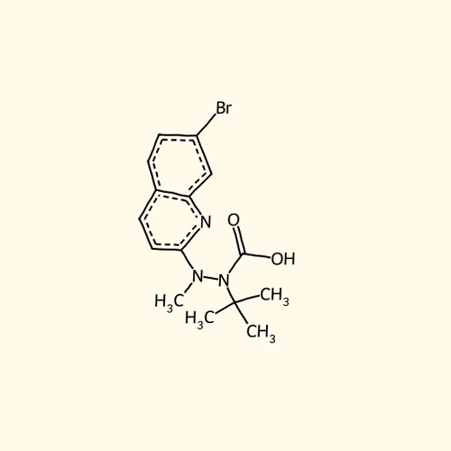 CN(c1ccc2ccc(Br)cc2n1)N(C(=O)O)C(C)(C)C